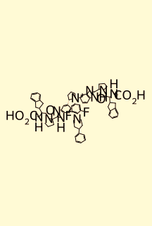 O=C(O)NC(C(=O)N1CCCC1c1nc2cc([C@@H]3CCC[N@@+]3(c3cc(F)c(N4CCC(c5ccccc5)CC4)c(F)c3)c3ccc4[nH]c(C5CCCN5C(=O)C(NC(=O)O)C5Cc6ccccc6C5)nc4c3)ccc2[nH]1)C1Cc2ccccc2C1